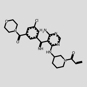 C=CC(=O)N1CCCC(Nc2ncnc(N)c2C(=N)c2cc(Cl)cc(C(=O)N3CCOCC3)c2)C1